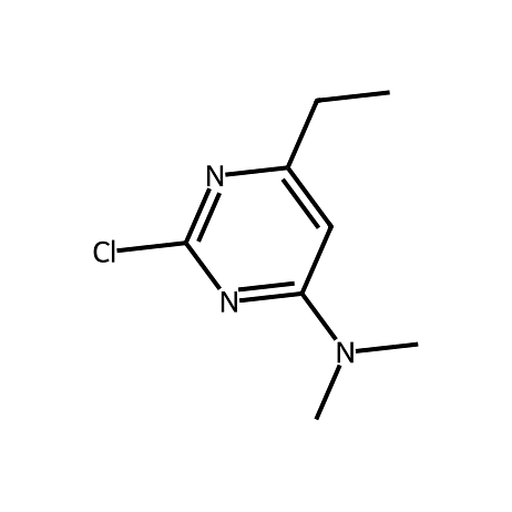 CCc1cc(N(C)C)nc(Cl)n1